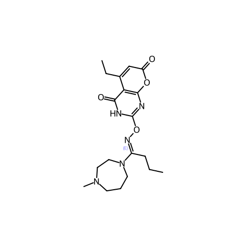 CCC/C(=N\Oc1nc2oc(=O)cc(CC)c2c(=O)[nH]1)N1CCCN(C)CC1